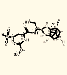 CC(C)C[C@H](NC(=O)[C@H](CNS(C)(=O)=O)NC(=O)OC(C)(C)C)B1O[C@@H]2C[C@@H]3C[C@@H](C3(C)C)[C@]2(C)O1